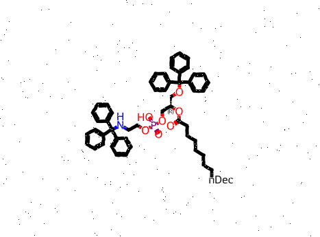 CCCCCCCCCCCCCCCCCC(=O)O[C@H](COC(c1ccccc1)(c1ccccc1)c1ccccc1)COP(=O)(O)OCCNC(c1ccccc1)(c1ccccc1)c1ccccc1